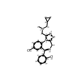 CN(Cc1nnc2n1-c1ccc(Cl)cc1C(c1ccccc1Cl)=NC2)CC1CC1